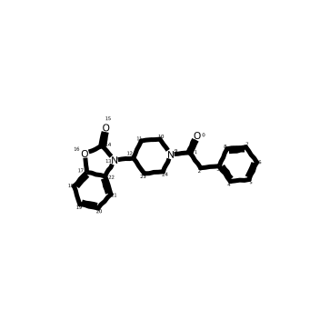 O=C(Cc1ccccc1)N1CCC(n2c(=O)oc3ccccc32)CC1